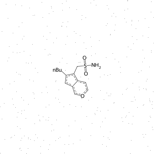 CCCCc1cc2coccc-2c1CS(N)(=O)=O